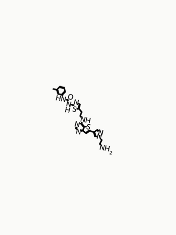 Cc1cccc(NC(=O)Nc2ncc(CCNc3ncnc4cc(-c5cnn(CCN)c5)sc34)s2)c1